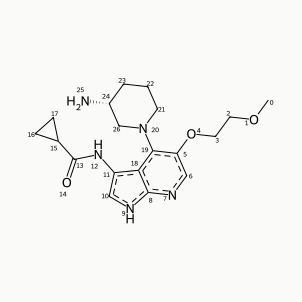 COCCOc1cnc2[nH]cc(NC(=O)C3CC3)c2c1N1CCC[C@@H](N)C1